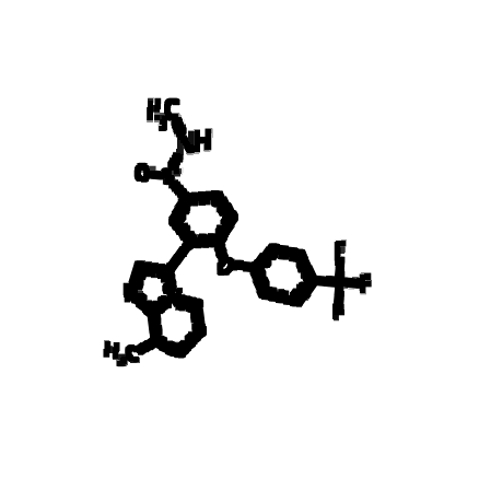 CN[S+]([O-])c1ccc(Oc2ccc(C(F)(F)F)cc2)c(-c2cnc3c(C)cccn23)c1